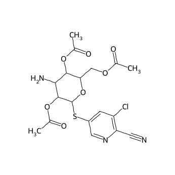 CC(=O)OCC1OC(Sc2cnc(C#N)c(Cl)c2)C(OC(C)=O)C(N)C1OC(C)=O